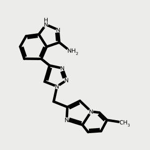 Cc1ccc2nc(Cn3cc(-c4cccc5[nH]nc(N)c45)nn3)cn2c1